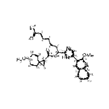 CCC(=O)CCCCC[C@H](NC(=O)[C@H]1CC12CCN(C)CC2)c1ncc(-c2cc3ccccc3nc2OC)[nH]1